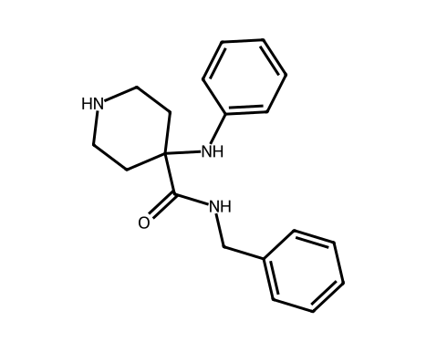 O=C(NCc1ccccc1)C1(Nc2ccccc2)CCNCC1